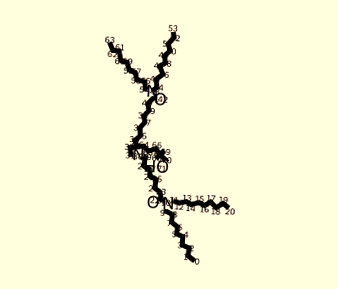 CCCCCCCCCCN(CCCCCCCCCC)C(=O)CCCCCCCN1CCC1(CCCCCCCC(=O)N(CCCCCCCCCC)CCCCCCCCCC)CCCC(C)(C)CO